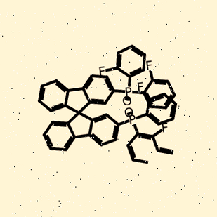 C=C/C(F)=C(\C=C/C)P(=O)(c1ccc2c(c1)C1(c3ccccc3-2)c2ccccc2-c2ccc(P(=O)(c3ccccc3F)c3ccccc3F)cc21)c1ccccc1F